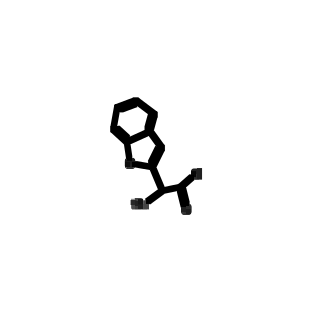 CC(C)(C)C(C(=O)Cl)c1cc2ccccc2o1